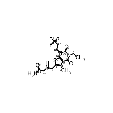 CCn1c(=O)c2c(C)c(CNCC(N)=O)sc2n(CCC(F)(F)F)c1=O